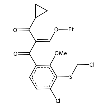 CCOC=C(C(=O)c1ccc(Cl)c(SCCl)c1OC)C(=O)C1CC1